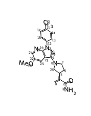 C=C(C(N)=O)C1CCN(c2nn(-c3ccc(C(F)(F)F)cc3)c3ncc(OC)cc23)C1